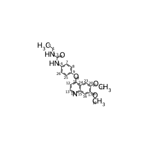 CCNC(=O)Nc1ccc(Oc2ccnc3cc(OC)c(OC)cc23)cc1